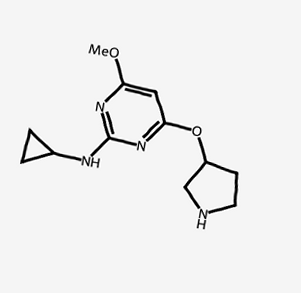 COc1cc(OC2CCNC2)nc(NC2CC2)n1